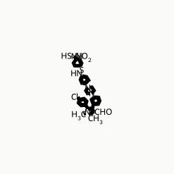 Cc1c(C=O)c(-c2cccc(N3CCN(c4ccc(NSC5C=C([N+](=O)[O-])C(NS)CC5)cc4)CC3)c2)c(-c2ccc(Cl)cc2)n1C